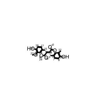 COC(=O)[C@H](Cc1ccc(O)c(C)c1)[C@@H](Cc1ccc(O)c(OC)c1)C(=O)OC